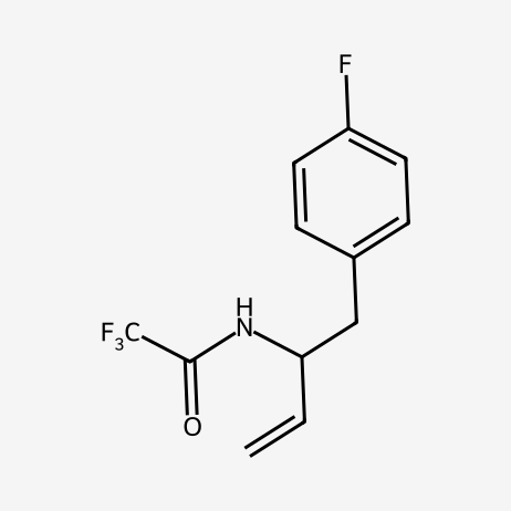 C=CC(Cc1ccc(F)cc1)NC(=O)C(F)(F)F